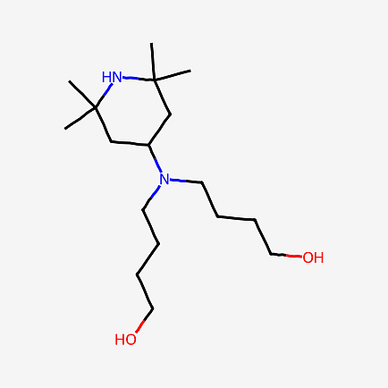 CC1(C)CC(N(CCCCO)CCCCO)CC(C)(C)N1